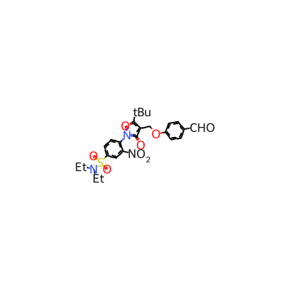 CCN(CC)S(=O)(=O)c1ccc(-n2oc(C(C)(C)C)c(COc3ccc(C=O)cc3)c2=O)c([N+](=O)[O-])c1